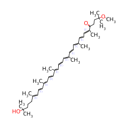 COC(C)(C)CCC(=O)/C(C)=C/C=C/C(C)=C/C=C/C(C)=C/C=C/C=C(C)/C=C/C=C(C)/C=C/C=C(\C)CCCC(C)(C)O